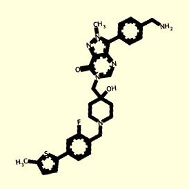 Cc1ccc(-c2ccc(CN3CCC(O)(Cn4cnc5c(-c6ccc(CN)cc6)n(C)nc5c4=O)CC3)c(F)c2)s1